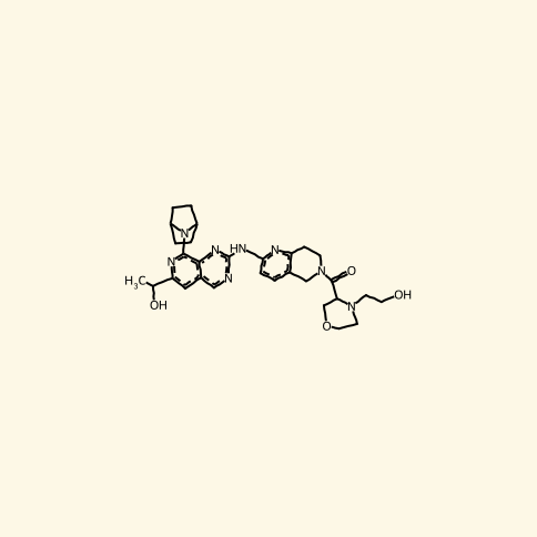 CC(O)c1cc2cnc(Nc3ccc4c(n3)CCN(C(=O)C3COCCN3CCO)C4)nc2c(N2C3CCC2CC3)n1